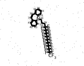 FC(F)(F)C(F)(F)C(F)(F)C(F)(F)C(F)(F)C(F)(F)C(F)(F)C(F)(F)C(F)(F)C(F)(F)CCCN1c2ccccc2C=Cc2ccccc21